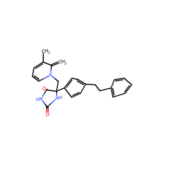 C=C1C(C)=CC=CN1CC1(c2ccc(CCc3ccccc3)cc2)NC(=O)NC1=O